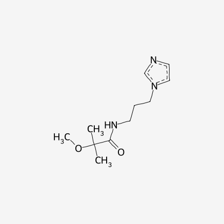 COC(C)(C)C(=O)NCCCn1ccnc1